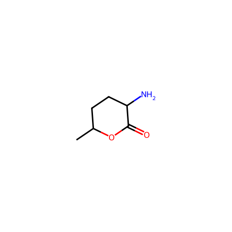 CC1CCC(N)C(=O)O1